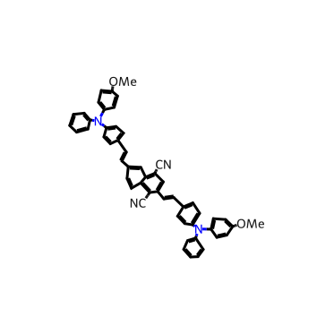 COc1ccc(N(c2ccccc2)c2ccc(C=Cc3ccc4c(C#N)c(C=Cc5ccc(N(c6ccccc6)c6ccc(OC)cc6)cc5)cc(C#N)c4c3)cc2)cc1